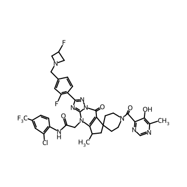 Cc1ncnc(C(=O)N2CCC3(CC2)CC(C)c2c3c(=O)n3nc(-c4ccc(CN5CC(F)C5)cc4F)nc3n2CC(=O)Nc2ccc(C(F)(F)F)cc2Cl)c1O